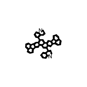 c1cc2c3c(cccc3c1)-c1cc3c(cc1-2)c(-c1cccc2ncccc12)cc1c2cc4c(cc2c(-c2ccnc5ccccc25)cc31)-c1cccc2cccc-4c12